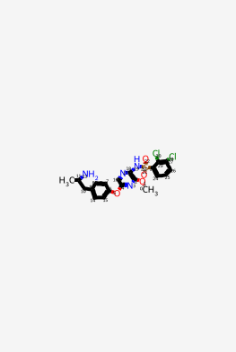 COc1nc(Oc2ccc(CC(C)N)cc2)cnc1NS(=O)(=O)c1cccc(Cl)c1Cl